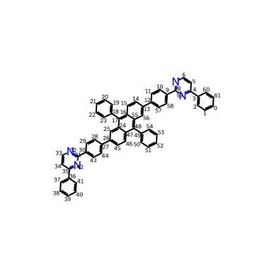 c1ccc(-c2ccnc(-c3ccc(-c4ccc5c(-c6ccccc6)c6cc(-c7ccc(-c8nccc(-c9ccccc9)n8)cc7)ccc6c(-c6ccccc6)c5c4)cc3)n2)cc1